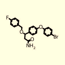 NC(=O)CC(OCc1ccc(F)cc1)c1ccc(Oc2ccc(Br)cc2)cc1